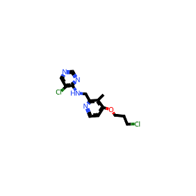 Cc1c(OCCCCl)ccnc1CNc1ncncc1Cl